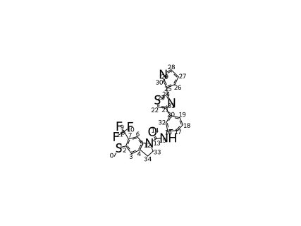 CSc1cc2c(cc1C(F)(F)F)N(C(=O)Nc1cccc(-c3csc(-c4cccnc4)n3)c1)CC2